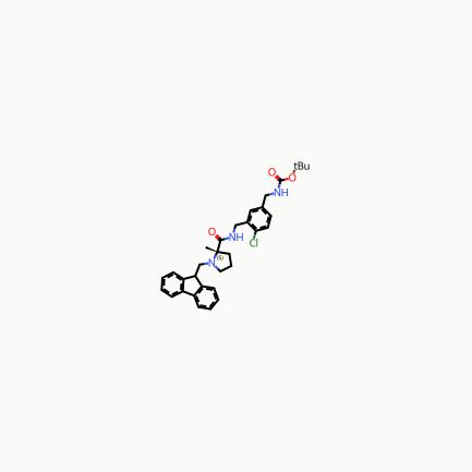 CC(C)(C)OC(=O)NCc1ccc(Cl)c(CNC(=O)[C@]2(C)CCCN2CC2c3ccccc3-c3ccccc32)c1